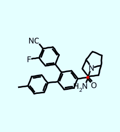 Cc1ccc(-c2ccc(C(=O)N3C4CCC3CC(N)C4)cc2-c2ccc(C#N)c(F)c2)cc1